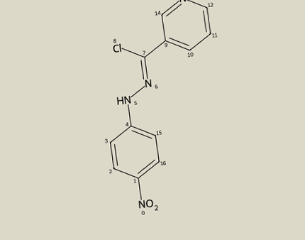 O=[N+]([O-])c1ccc(NN=C(Cl)c2cccnc2)cc1